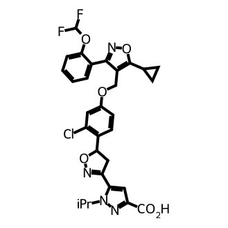 CC(C)n1nc(C(=O)O)cc1C1=NOC(c2ccc(OCc3c(-c4ccccc4OC(F)F)noc3C3CC3)cc2Cl)C1